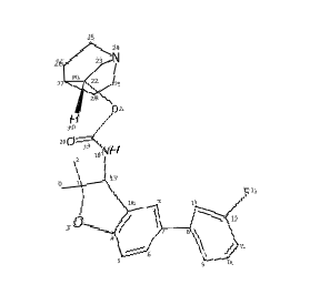 CC1(C)Oc2ccc(-c3cccc(F)c3)cc2C1NC(=O)O[C@H]1CN2CCC1CC2